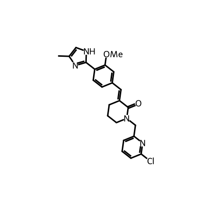 COc1cc(/C=C2\CCCN(Cc3cccc(Cl)n3)C2=O)ccc1-c1nc(C)c[nH]1